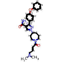 CN(C)C/C=C/C(=O)N1CCC[C@H](n2cc(C(N)=O)c(-c3ccc(Oc4ccccc4)cc3)n2)CC1